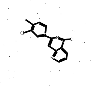 Cc1ccc(-c2cc3ncccc3c(Cl)n2)cc1Cl